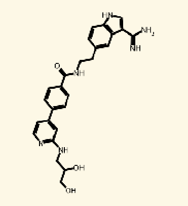 N=C(N)c1c[nH]c2ccc(CCNC(=O)c3ccc(-c4ccnc(NCC(O)CO)c4)cc3)cc12